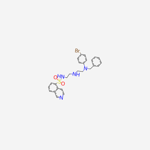 O=S(=O)(NCCNCCN(Cc1ccccc1)c1ccc(Br)cc1)c1cccc2cnccc12